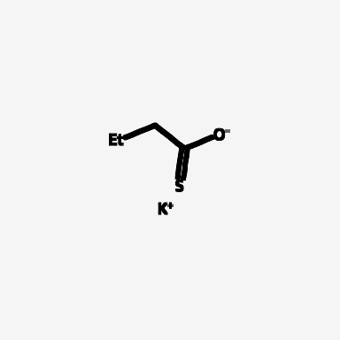 CCCC([O-])=S.[K+]